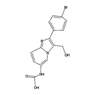 O=C(O)Nc1ccc2nc(-c3ccc(Br)cc3)c(CO)n2c1